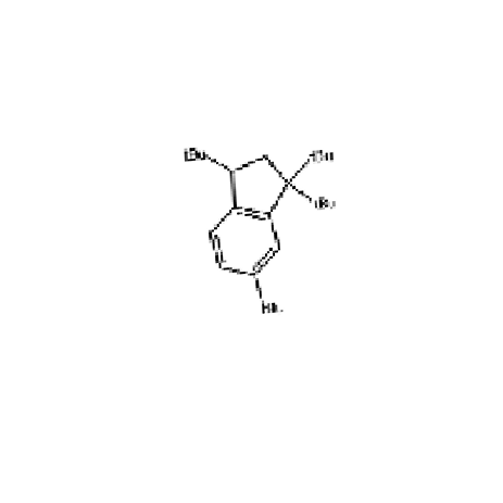 CC(C)(C)c1ccc2c(c1)C(C(C)(C)C)(C(C)(C)C)CC2C(C)(C)C